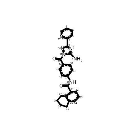 Nc1nc(-c2ccccn2)nn1C(=O)c1ccc(NC(=O)c2cccc3c2CCCC3)cc1